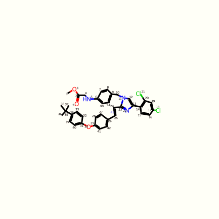 COC(=O)CNc1ccc(Cn2cc(-c3ccc(Cl)cc3Cl)nc2/C=C/c2ccc(Oc3ccc(C(C)(C)C)cc3)cc2)cc1